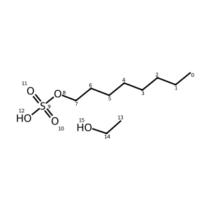 CCCCCCCCOS(=O)(=O)O.CCO